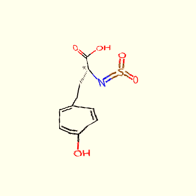 O=C(O)[C@@H](Cc1ccc(O)cc1)N=S(=O)=O